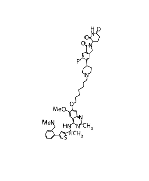 CNCc1ccccc1-c1csc([C@@H](C)Nc2nc(C)nc3cc(OCCCCCCCN4CCC(c5cc6c(cc5F)C(=O)N(C5CCC(=O)NC5=O)C6)CC4)c(OC)cc23)c1